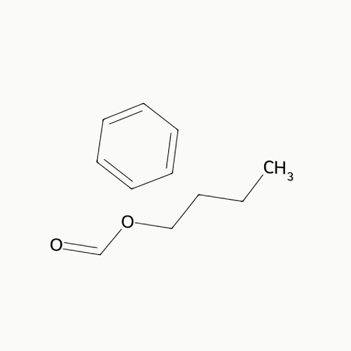 CCCCOC=O.c1ccccc1